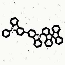 C1=CC2C(C=C1c1ccc3c(c1)c1ccccc1n3-c1ccccc1)c1ccccc1N2c1cccc2c1-c1ccccc1C21c2ccccc2-c2ccccc21